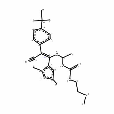 CSCCOC(=O)OC(C)O/C(=C(/C#N)c1ccc(C(C)(C)C)cc1)c1cc(C)nn1C